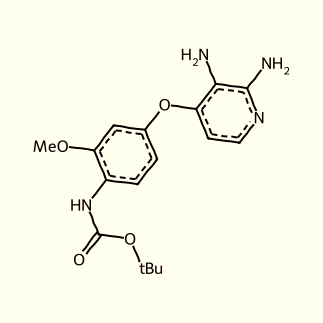 COc1cc(Oc2ccnc(N)c2N)ccc1NC(=O)OC(C)(C)C